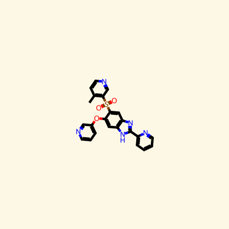 Cc1ccncc1S(=O)(=O)c1cc2nc(-c3ccccn3)[nH]c2cc1Oc1cccnc1